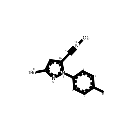 Cc1ccc(-n2nc(C(C)(C)C)cc2C#[N+][O-])cc1